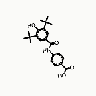 CC(C)(C)c1cc(C(=O)Nc2ccc(C(=O)O)cc2)cc(C(C)(C)C)c1O